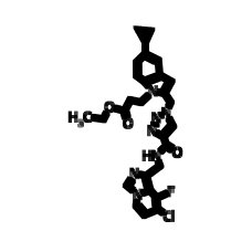 CCOC(=O)CCn1c(Cn2cc(C(=O)NCc3ncn4ccc(Cl)c(F)c34)nn2)cc2cc(C3CC3)ccc21